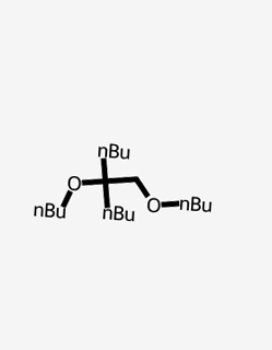 CCCCOCC(CCCC)(CCCC)OCCCC